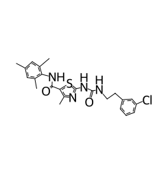 Cc1cc(C)c(NC(=O)c2sc(NC(=O)NCCc3cccc(Cl)c3)nc2C)c(C)c1